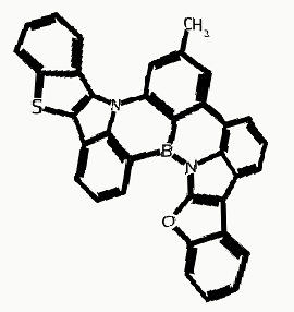 Cc1cc2c3c(c1)-n1c4c(cccc4c4sc5ccccc5c41)B3n1c3oc4ccccc4c3c3cccc-2c31